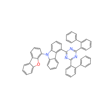 c1ccc(-c2ccccc2-c2nc(-c3ccccc3-c3ccccc3)nc(-c3cccc4c3c3ccccc3n4-c3cccc4c3oc3ccccc34)n2)cc1